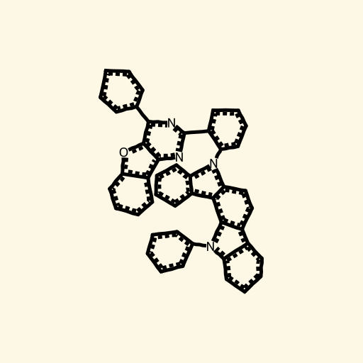 c1ccc(-c2nc(-c3ccccc3-n3c4ccccc4c4c3ccc3c5ccccc5n(-c5ccccc5)c34)nc3c2oc2ccccc23)cc1